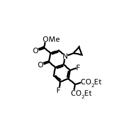 CCOC(=O)C(C(=O)OCC)c1c(F)cc2c(=O)c(C(=O)OC)cn(C3CC3)c2c1F